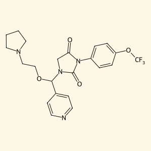 O=C1CN(C(OCCN2CCCC2)c2ccncc2)C(=O)N1c1ccc(OC(F)(F)F)cc1